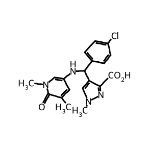 Cc1cc(NC(c2ccc(Cl)cc2)c2cn(C)nc2C(=O)O)cn(C)c1=O